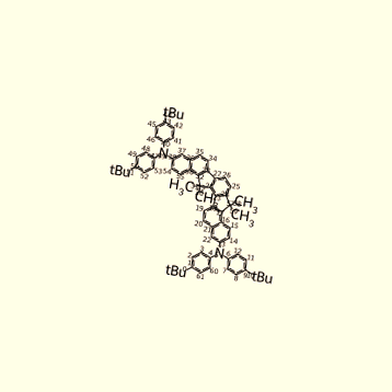 CC(C)(C)c1ccc(N(c2ccc(C(C)(C)C)cc2)c2ccc3c4c(ccc3c2)-c2c(ccc3c2C(C)(C)c2c-3ccc3cc(N(c5ccc(C(C)(C)C)cc5)c5ccc(C(C)(C)C)cc5)ccc23)C4(C)C)cc1